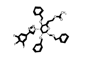 CC(=O)OCC=C1O[C@H](COCc2ccccc2)[C@H](OCc2ccccc2)[C@H](n2cc(-c3cc(F)c(F)c(F)c3)nn2)[C@H]1OCc1ccccc1